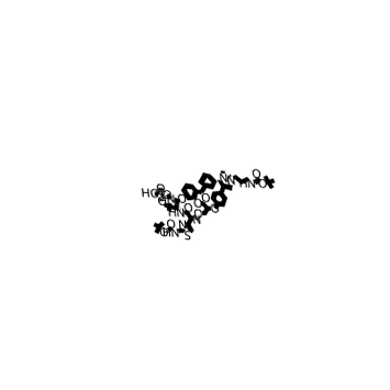 C[n+]1cc(-c2ccc(OC(CON=C(C(=O)N[C@@H]3C(=O)N(OS(=O)(=O)O)C3(C)C)c3csc(NC(=O)OC(C)(C)C)n3)C(=O)OC(c3ccccc3)c3ccccc3)cc2)cn1CCCNC(=O)OC(C)(C)C